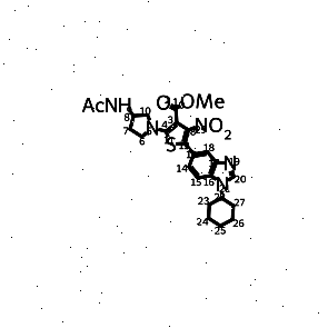 COC(=O)c1c(N2CCC(NC(C)=O)C2)sc(-c2ccc3c(c2)ncn3C2CCCCC2)c1[N+](=O)[O-]